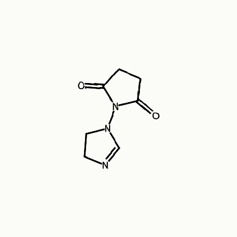 O=C1CCC(=O)N1N1C=NCC1